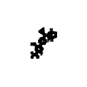 CN(C)C(=O)c1cc(O)c(-c2cnc(N(C3CC3)[C@@H]3C[C@H]4CC[C@H](N4)[C@@H]3F)cn2)cc1F